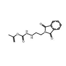 C=C(C)OC(=O)NNCCN1C(=O)c2ccccc2C1=O